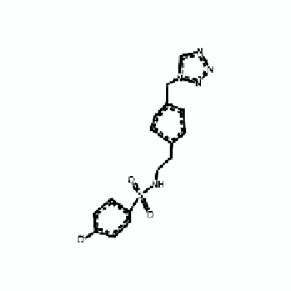 O=S(=O)(NCCc1ccc(Cn2cnnn2)cc1)c1ccc(Cl)cc1